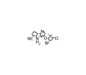 Cc1cc(Cl)cc(Br)c1Oc1ccnc(-c2cccc(C#N)c2N)n1